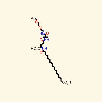 CC(=O)COCCOCCNC(=O)C(C)(C)NC(=O)CC[C@H](NC(=O)CCCCCCCCCCCCCCCCC(=O)O)C(=O)O